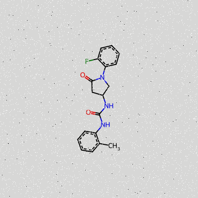 Cc1ccccc1NC(=O)NC1CC(=O)N(c2ccccc2F)C1